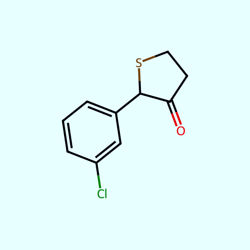 O=C1CCSC1c1cccc(Cl)c1